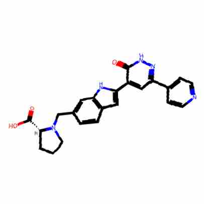 O=C(O)[C@H]1CCCN1Cc1ccc2cc(-c3cc(-c4ccncc4)n[nH]c3=O)[nH]c2c1